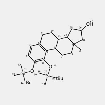 CC12CCC3c4c(ccc(O[Si](C)(C)C(C)(C)C)c4O[Si](C)(C)C(C)(C)C)CCC3C1CC(O)C2